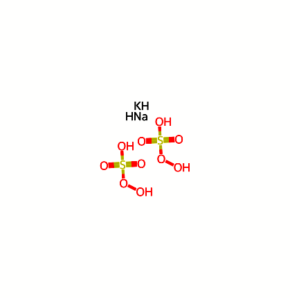 O=S(=O)(O)OO.O=S(=O)(O)OO.[KH].[NaH]